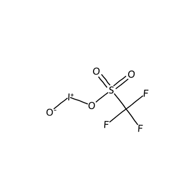 O=S(=O)(O[I+][O-])C(F)(F)F